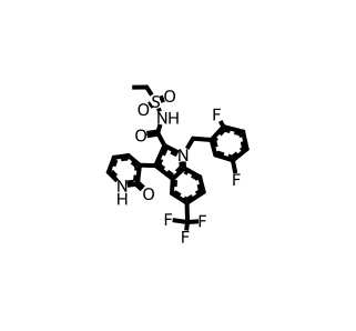 CCS(=O)(=O)NC(=O)c1c(-c2ccc[nH]c2=O)c2cc(C(F)(F)F)ccc2n1Cc1cc(F)ccc1F